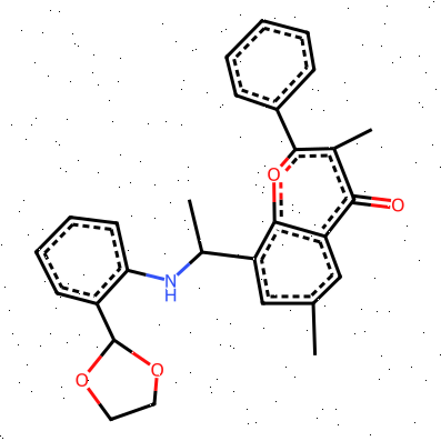 Cc1cc(C(C)Nc2ccccc2C2OCCO2)c2oc(-c3ccccc3)c(C)c(=O)c2c1